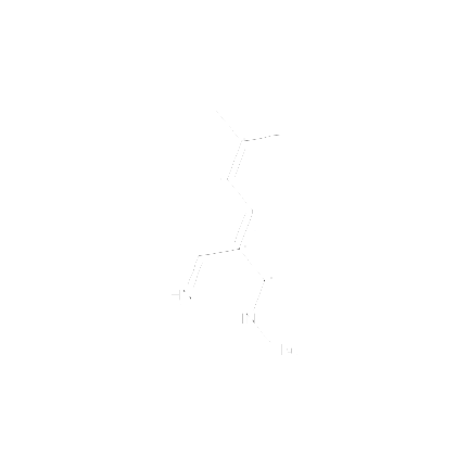 CC(C)=C/C=C(\C=N)CNC(C)(C)C